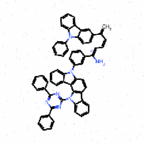 C=C(/C=C\C=C(/N)c1cccc(-n2c3ccccc3c3c2ccc2c4ccccc4n(-c4nc(-c5ccccc5)nc(-c5ccccc5)n4)c23)c1)c1ccc2c(c1)c1ccccc1n2-c1ccccc1